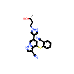 C[C@@H](O)CCn1cc(-c2cc(Sc3ccccc3C#N)c3c(C#N)cnn3c2)cn1